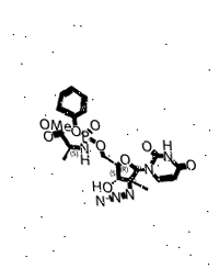 COC(=O)[C@H](C)NP(=O)(OC[C@H]1O[C@@H](n2ccc(=O)[nH]c2=O)[C@](C)(N=[N+]=[N-])[C@@H]1O)Oc1ccccc1